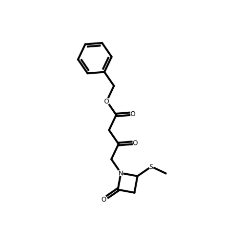 CSC1CC(=O)N1CC(=O)CC(=O)OCc1ccccc1